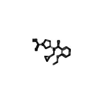 CCSc1ccccc1C(=O)N(CC1CC1)[C@H]1CCN(C(=O)O)C1